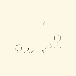 CNCCNC(=O)c1cccc([C@@H]2CCCN2C(=O)[C@H](O)[C@@H](O)C(=O)NCc2nc(Cc3ccccc3C)cs2)c1